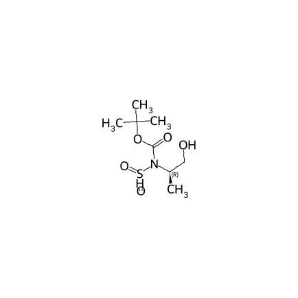 C[C@H](CO)N(C(=O)OC(C)(C)C)[SH](=O)=O